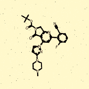 CN1CCN(c2ccn(-c3cc(-c4c(F)cccc4C#N)nc4c3C(=O)N(C(=O)OC(C)(C)C)C4)n2)CC1